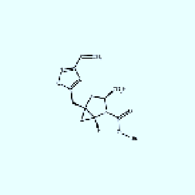 C=Cc1noc(C[C@@]23C[C@@H](C(=O)O)N(C(=O)OC(C)(C)C)[C@@H]2C3)n1